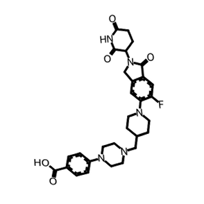 O=C1CCC(N2Cc3cc(N4CCC(CN5CCN(c6ccc(C(=O)O)cc6)CC5)CC4)c(F)cc3C2=O)C(=O)N1